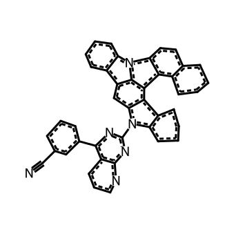 N#Cc1cccc(-c2nc(-n3c4ccccc4c4c5c6c7ccccc7ccc6n6c7ccccc7c(cc43)c56)nc3ncccc23)c1